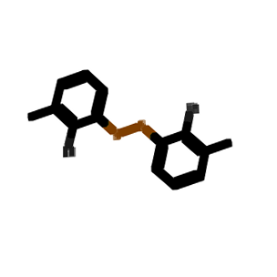 CCc1c(C)cccc1SSc1cccc(C)c1CC